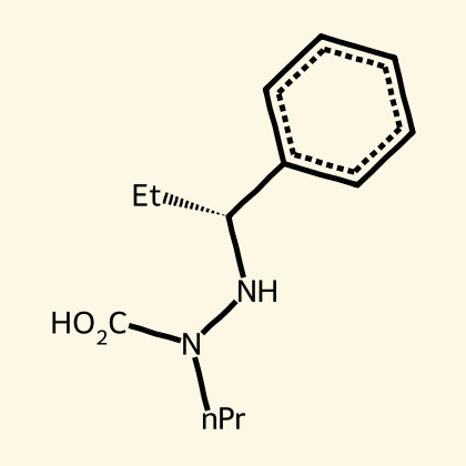 CCCN(N[C@H](CC)c1ccccc1)C(=O)O